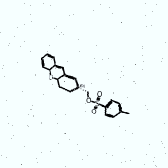 Cc1ccc(S(=O)(=O)OC[C@H]2C=C3C=C4C=CC=CC4OC3CC2)cc1